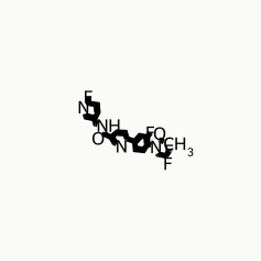 CC(=O)N(CC(F)F)c1ccc(-c2ccc(C(=O)NCc3ccc(F)nc3)cn2)cc1F